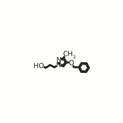 Cc1nn(CCCO)cc1OCc1ccccc1